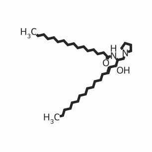 CCCCCCCCCCCCC/C=C/C(O)C(CN1CCCC1)NC(=O)CCCCCCCCCCCCCCC